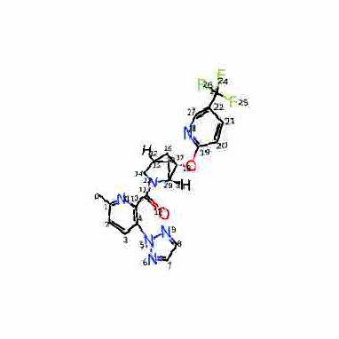 Cc1ccc(-n2nccn2)c(C(=O)N2C[C@@H]3C[C@H](Oc4ccc(C(F)(F)F)cn4)[C@H]2C3)n1